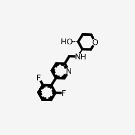 O[C@@H]1CCOC[C@H]1NCc1ccc(-c2c(F)cccc2F)cn1